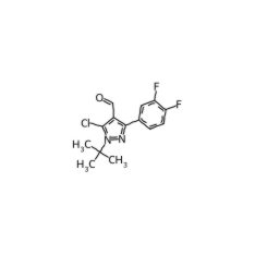 CC(C)(C)n1nc(-c2ccc(F)c(F)c2)c(C=O)c1Cl